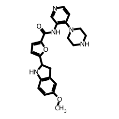 COc1ccc2c(c1)CC(c1ccc(C(=O)Nc3cnccc3N3CCNCC3)o1)N2